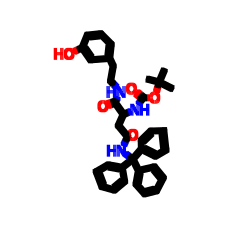 CC(C)(C)OC(=O)NC(CC(=O)NC(c1ccccc1)(c1ccccc1)c1ccccc1)C(=O)NCCc1cccc(O)c1